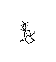 CC(C)(C)OC(=O)N1[C@@H]2CC[C@H]1CC(C=O)C2